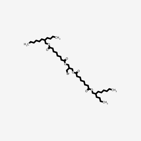 CCCCCCC(CCCC)COC(=O)CCCCCCC(=O)OCC(CBr)COC(=O)CCCCCCC(=O)OCC(CCCC)CCCCCC